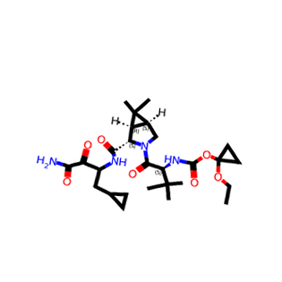 CCOC1(OC(=O)N[C@H](C(=O)N2C[C@H]3[C@@H]([C@H]2C(=O)NC(CC2CC2)C(=O)C(N)=O)C3(C)C)C(C)(C)C)CC1